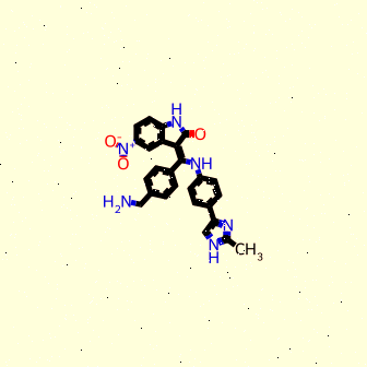 Cc1nc(-c2ccc(N/C(=C3\C(=O)Nc4ccc([N+](=O)[O-])cc43)c3ccc(CN)cc3)cc2)c[nH]1